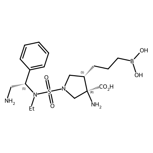 CCN([C@H](CN)c1ccccc1)S(=O)(=O)N1C[C@H](CCCB(O)O)[C@](N)(C(=O)O)C1